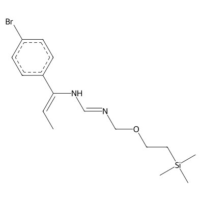 C/C=C(\N/C=N/COCC[Si](C)(C)C)c1ccc(Br)cc1